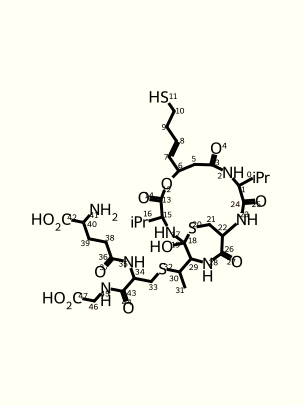 CC(C)C1NC(=O)CC(/C=C/CCS)OC(=O)C(C(C)C)NC2(O)SCC(NC1=O)C(=O)NC2C(C)SCC(NC(=O)CCC(N)C(=O)O)C(=O)NCC(=O)O